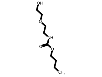 CCCCOC(=O)NCCOCCO